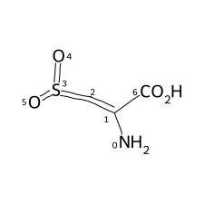 NC(=C=S(=O)=O)C(=O)O